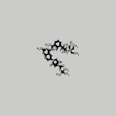 CC[Si](CC)(CC)OC(C)(C)C(F)(F)c1cccc([C@@H](C)Nc2nc(C)nc3ncc(N4C[C@@H]5C[C@H]4CN5C(=O)OC(C)(C)C)cc23)c1F